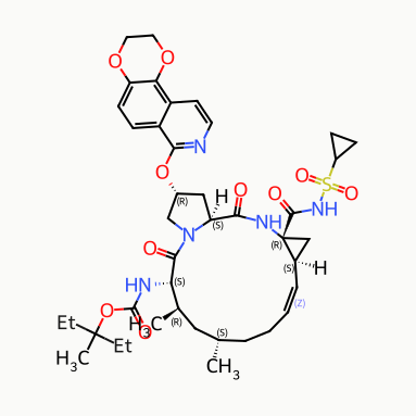 CCC(C)(CC)OC(=O)N[C@@H]1C(=O)N2C[C@H](Oc3nccc4c5c(ccc34)OCCO5)C[C@H]2C(=O)N[C@]2(C(=O)NS(=O)(=O)C3CC3)C[C@H]2/C=C\CC[C@H](C)C[C@H]1C